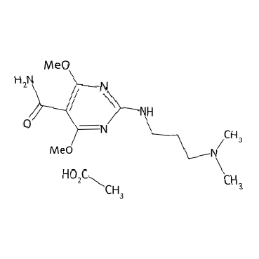 CC(=O)O.COc1nc(NCCCN(C)C)nc(OC)c1C(N)=O